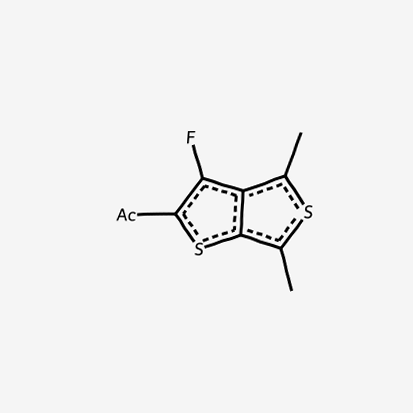 CC(=O)c1sc2c(C)sc(C)c2c1F